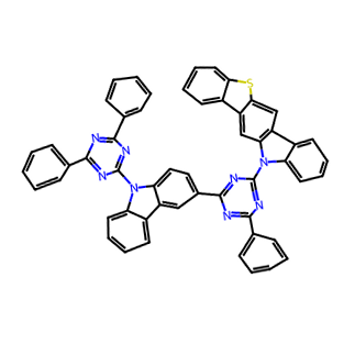 c1ccc(-c2nc(-c3ccccc3)nc(-n3c4ccccc4c4cc(-c5nc(-c6ccccc6)nc(-n6c7ccccc7c7cc8sc9ccccc9c8cc76)n5)ccc43)n2)cc1